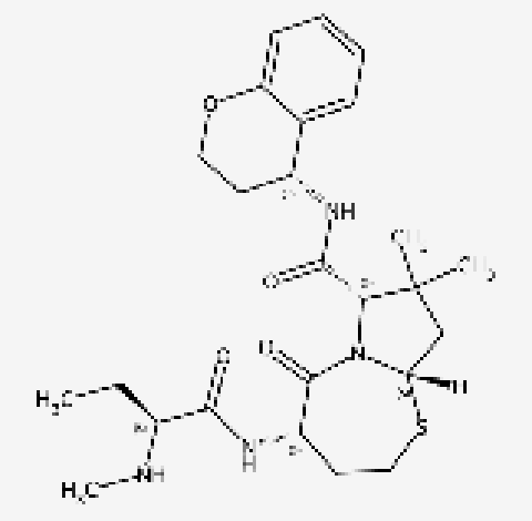 CC[C@H](NC)C(=O)N[C@H]1CCS[C@H]2CC(C)(C)[C@@H](C(=O)N[C@@H]3CCOc4ccccc43)N2C1=O